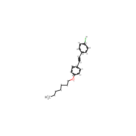 CCCCCCCOc1ccc(C#Cc2ccc(F)cc2)cc1